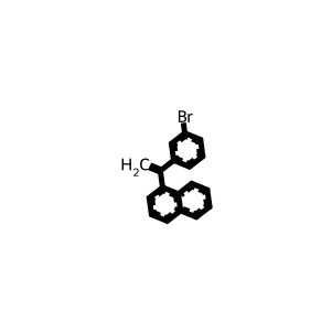 C=C(c1cccc(Br)c1)c1cccc2ccccc12